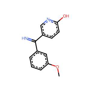 COc1cccc(C(=N)c2ccc(O)nc2)c1